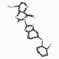 COc1ccnc2c(=O)n(-c3nc4ccc(Sc5ccccc5Cl)cc4s3)c(=S)oc12